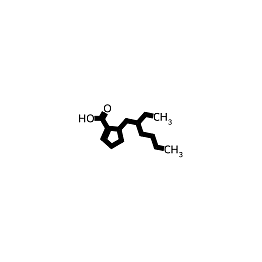 CCCCC(CC)CC1CCC=C1C(=O)O